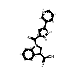 O=C(O)C1CN(C(=O)c2cc(-c3cccnc3)on2)c2ccccc21